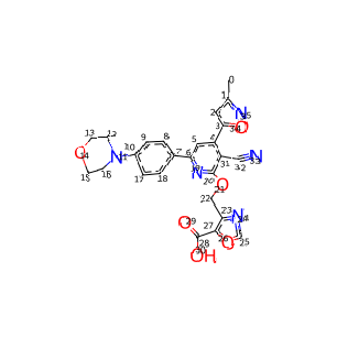 Cc1cc(-c2cc(-c3ccc(N4CCOCC4)cc3)nc(OCc3ncoc3C(=O)O)c2C#N)on1